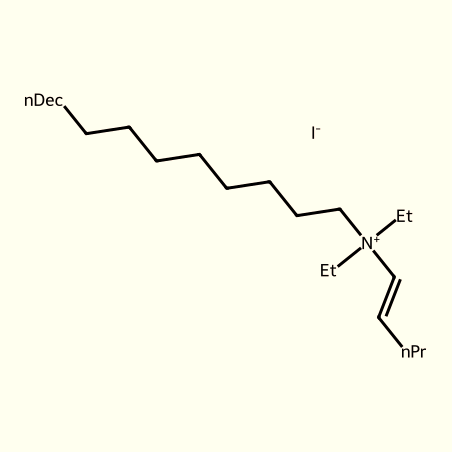 CCCC=C[N+](CC)(CC)CCCCCCCCCCCCCCCCCC.[I-]